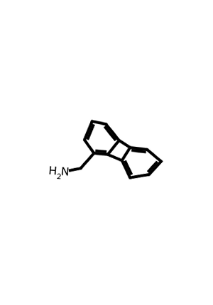 NCc1cccc2c1-c1ccccc1-2